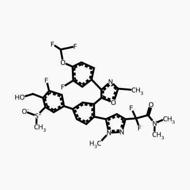 Cc1nc(-c2ccc(OC(F)F)c(F)c2)c(-c2cc(-c3cc(F)c(CO)c([S+](C)[O-])c3)ccc2-c2cc(C(F)(F)C(=O)N(C)C)nn2C)o1